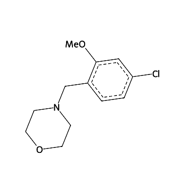 COc1cc(Cl)ccc1CN1CCOCC1